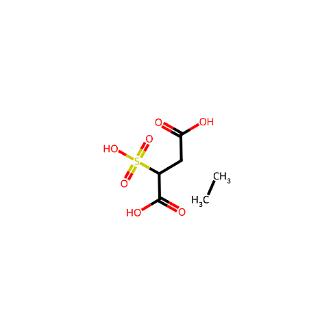 CC.O=C(O)CC(C(=O)O)S(=O)(=O)O